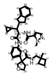 Cn1nccc1C(=O)N[C@H](C(=O)Nc1cccc(C2(C(=O)NCC3(C)CCC3)CCOC2)c1)C(C1CC1)C1Cc2ccccc2C1